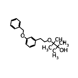 CC(C)(O)C(C)(C)OCCc1cccc(OCc2ccccc2)c1